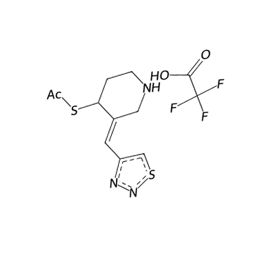 CC(=O)SC1CCNCC1=Cc1csnn1.O=C(O)C(F)(F)F